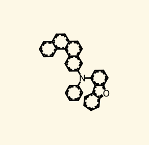 c1ccc(N(c2ccc3c(ccc4ccc5ccccc5c43)c2)c2cccc3oc4ccccc4c23)cc1